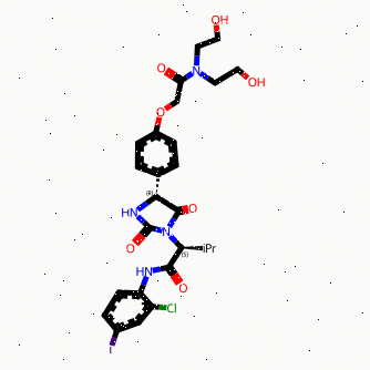 CC(C)[C@@H](C(=O)Nc1ccc(I)cc1Cl)N1C(=O)N[C@H](c2ccc(OCC(=O)N(CCO)CCO)cc2)C1=O